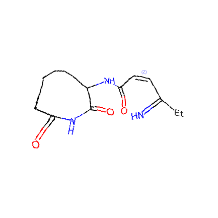 CCC(=N)/C=C\C(=O)NC1CCCC(=O)NC1=O